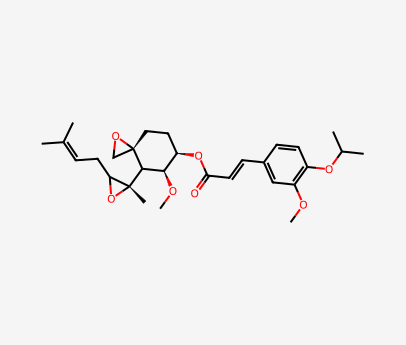 COc1cc(/C=C/C(=O)O[C@@H]2CC[C@]3(CO3)C([C@]3(C)OC3CC=C(C)C)[C@@H]2OC)ccc1OC(C)C